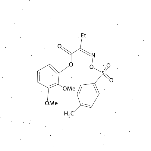 CCC(=NOS(=O)(=O)c1ccc(C)cc1)C(=O)Oc1cccc(OC)c1OC